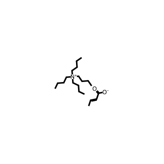 CC=CC(=O)[O-].CCCC[N+](CCCC)(CCCC)CCCC